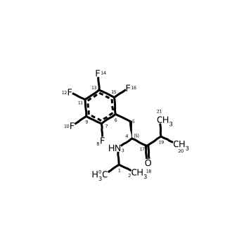 CC(C)N[C@@H](Cc1c(F)c(F)c(F)c(F)c1F)C(=O)C(C)C